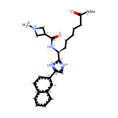 CNC(=O)CCCCC[C@H](NC(=O)C1CN(C)C1)c1ncc(-c2ccc3ccccc3c2)[nH]1